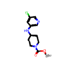 CC(C)(C)OC(=O)N1CCC(Nc2cncc(Cl)c2)CC1